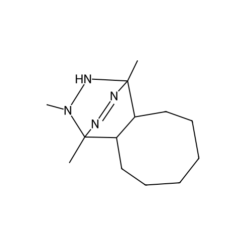 CN1NC2(C)N=NC1(C)C1CCCCCCC12